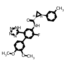 COc1ccc(-c2cc(F)c(NC(=O)[C@@H]3C[C@H]3c3cccc(C)c3)cc2-c2nnn[nH]2)cc1OC